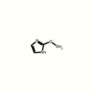 [SiH3]Oc1ncc[nH]1